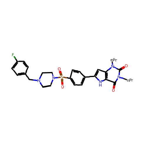 CCCn1c(=O)c2[nH]c(-c3ccc(S(=O)(=O)N4CCN(Cc5ccc(F)cc5)CC4)cc3)cc2n(CCC)c1=O